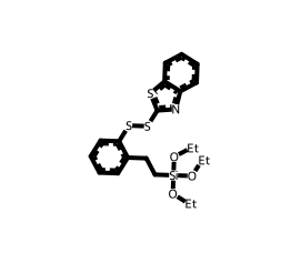 CCO[Si](CCc1ccccc1SSc1nc2ccccc2s1)(OCC)OCC